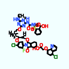 C#CC(C)Oc1cc(N2C(=O)C3=C(CCCC3)C2=O)c(F)cc1Cl.CCOc1nc(NC)nc(NC(=O)NS(=O)(=O)c2ccccc2C(=O)O)n1.O=C(O)COc1ccc(Cl)c2cccnc12